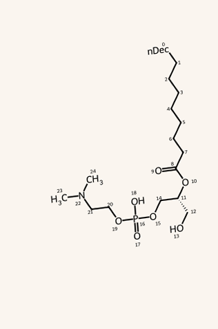 CCCCCCCCCCCCCCCCCC(=O)O[C@H](CO)COP(=O)(O)OCCN(C)C